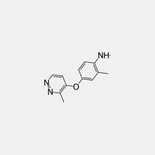 Cc1cc(Oc2ccnnc2C)ccc1[NH]